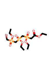 CCOC(=O)CP(=O)(CP(=O)(CP(=O)(CBr)OCC)OCC)OCC